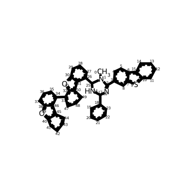 CN1C(c2ccc3c(c2)sc2ccccc23)=NC(c2ccccc2)NC1c1cccc2oc3c(-c4cccc5oc6ccccc6c45)cccc3c12